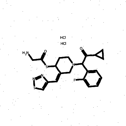 Cl.Cl.NCC(=O)SC1CCN(C(C(=O)C2CC2)c2ccccc2F)CC1=Cc1csnn1